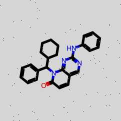 O=c1ccc2cnc(Nc3ccccc3)nc2n1C(c1ccccc1)C1CCCCC1